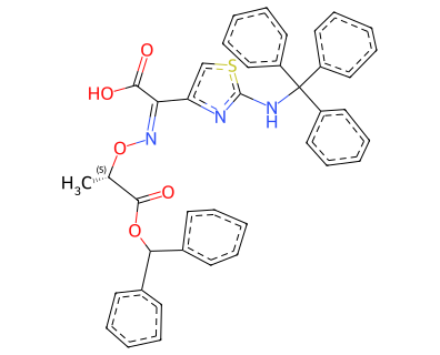 C[C@H](ON=C(C(=O)O)c1csc(NC(c2ccccc2)(c2ccccc2)c2ccccc2)n1)C(=O)OC(c1ccccc1)c1ccccc1